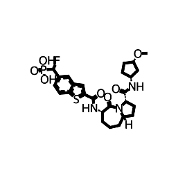 CO[C@H]1CC[C@@H](NC(=O)[C@@H]2CC[C@@H]3CCC[C@H](NC(=O)c4cc5cc(C(F)P(=O)(O)O)ccc5s4)C(=O)N32)C1